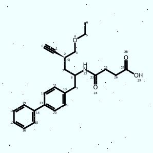 C#C[C@@H](COCC)CC(Cc1ccc(-c2ccccc2)cc1)NC(=O)CCC(=O)O